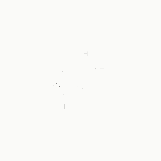 CC(C)c1[c]nc(Br)s1